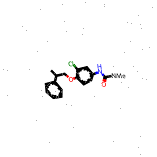 CNC(=O)Nc1ccc(OCC(C)c2ccccc2)c(Cl)c1